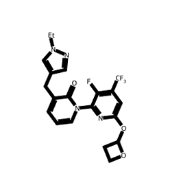 CCn1cc(Cc2cccn(-c3nc(OC4CCO4)cc(C(F)(F)F)c3F)c2=O)cn1